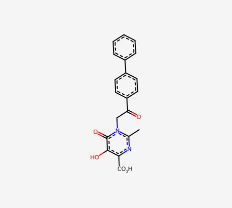 Cc1nc(C(=O)O)c(O)c(=O)n1CC(=O)c1ccc(-c2ccccc2)cc1